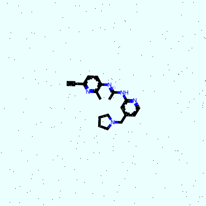 C#Cc1ccc(/N=C(\C)Nc2cc(CN3CCCC3)ccn2)c(C)n1